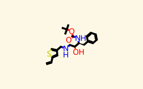 C=Cc1cc(CNC[C@H](O)[C@H](Cc2ccccc2)NC(=O)OC(C)(C)C)cs1